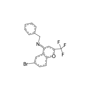 FC(F)(F)c1cc(=NCc2ccccc2)c2cc(Br)ccc2o1